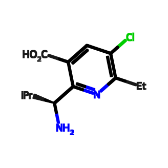 CCc1nc([C@@H](N)C(C)C)c(C(=O)O)cc1Cl